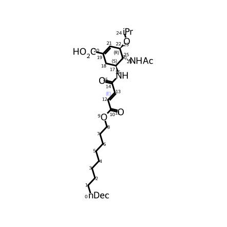 CCCCCCCCCCCCCCCCCCOC(=O)/C=C/C(=O)N[C@H]1CC(C(=O)O)=C[C@@H](OC(C)C)[C@@H]1NC(C)=O